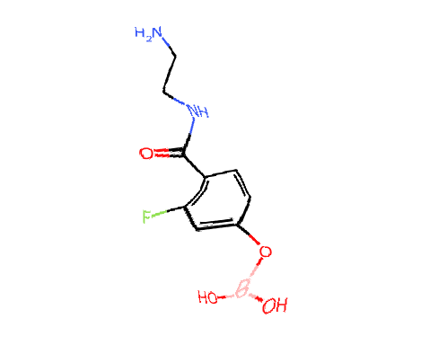 NCCNC(=O)c1ccc(OB(O)O)cc1F